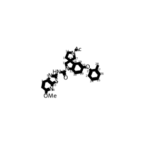 COc1ccc2nc(NC(=O)N3CC4(CCN(C(C)=O)C4)c4cc(Oc5ccccc5C)ccc43)sc2n1